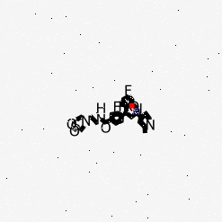 Cc1cc(/C(CC(c2ccc(C(=O)NCCN3CCS(=O)(=O)CC3)cc2)c2ccc(F)cc2F)=N/O)ccn1